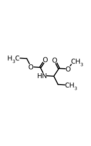 CCOC(=O)NC(CC)C(=O)OC